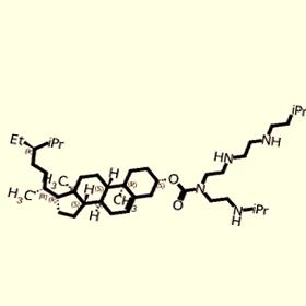 CC[C@H](CC[C@@H](C)[C@H]1CC[C@H]2[C@@H]3CC=C4C[C@@H](OC(=O)N(CCNCCNCCC(C)C)CCNC(C)C)CC[C@]4(C)[C@H]3CC[C@]12C)C(C)C